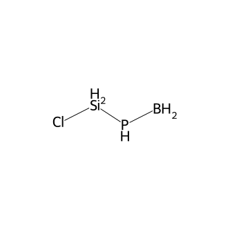 BP[SiH2]Cl